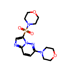 O=S(=O)(c1cnc2ccc(N3CCOCC3)nn12)N1CCOCC1